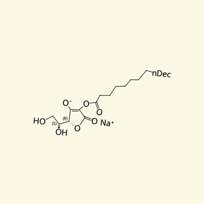 CCCCCCCCCCCCCCCCCC(=O)OC1=C([O-])[C@@H]([C@@H](O)CO)OC1=O.[Na+]